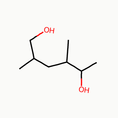 CC(CO)CC(C)C(C)O